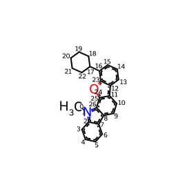 Cn1c2ccccc2c2ccc3c4cccc(C5CCCCC5)c4oc3c21